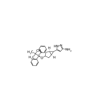 CC(C)(C)[Si](OC1C[C@@H]2C(c3cc(N)n[nH]3)[C@@H]2C1)(c1ccccc1)c1ccccc1